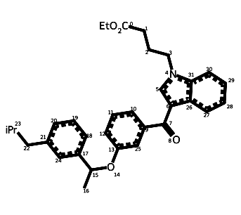 CCOC(=O)CCCn1cc(C(=O)c2cccc(OC(C)c3cccc(CC(C)C)c3)c2)c2ccccc21